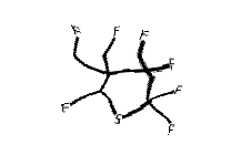 FCC1(F)C(F)SC(F)(F)C1(F)F